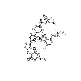 CC(=O)NCc1ccc(Cl)c(CN(C(=O)[C@H]2CN(C(=O)OC(C)(C)C)CC[C@@H]2c2ccc(N3CC[C@@H](Oc4c(Cl)cc(C)cc4Cl)C3)nc2)C2CC2)c1